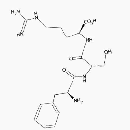 N=C(N)NCCC[C@H](NC(=O)[C@H](CO)NC(=O)[C@@H](N)Cc1ccccc1)C(=O)O